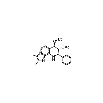 CCO[C@@H]1c2ccn3c(C)c(C)nc3c2N[C@H](c2ccccc2)[C@H]1OC(C)=O